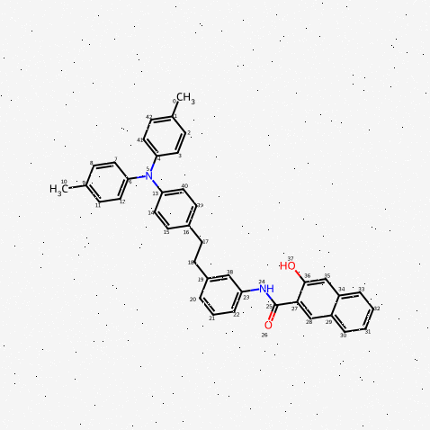 Cc1ccc(N(c2ccc(C)cc2)c2ccc(CCc3cccc(NC(=O)c4cc5ccccc5cc4O)c3)cc2)cc1